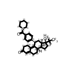 C[C@]12C[C@H](c3ccc(C(=O)N4CCCCC4)cc3)C3=C4CCC(=O)C=C4CC[C@H]3[C@@H]1CC[C@@]2(O)C(F)(F)C(F)(F)F